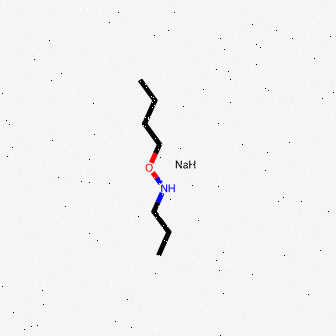 CCCCONCCC.[NaH]